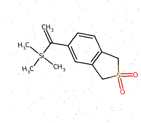 C=C(c1ccc2c(c1)CS(=O)(=O)C2)[Si](C)(C)C